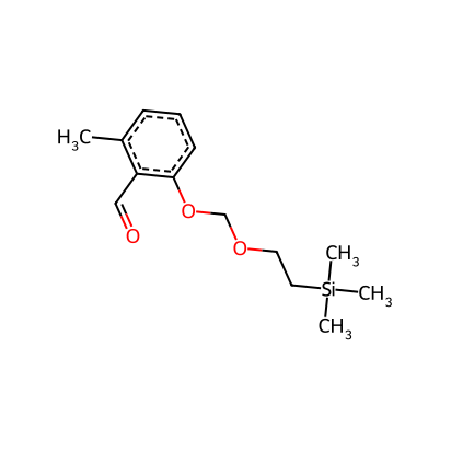 Cc1cccc(OCOCC[Si](C)(C)C)c1C=O